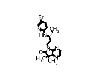 CC[C@H](CCN1C(=O)C(C)(C)c2nccnc21)Nc1ccc(Br)cn1